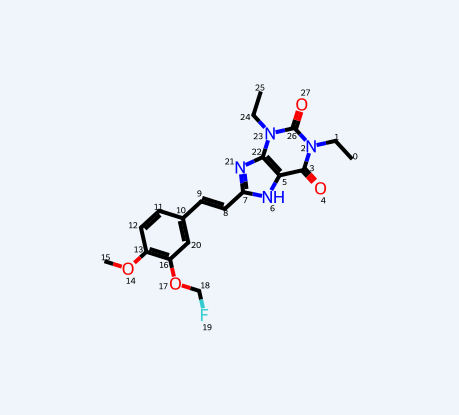 CCn1c(=O)c2[nH]c(C=Cc3ccc(OC)c(OCF)c3)nc2n(CC)c1=O